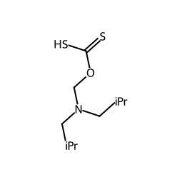 CC(C)CN(COC(=S)S)CC(C)C